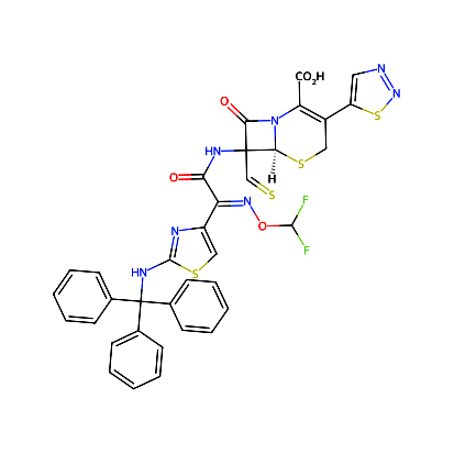 O=C(O)C1=C(c2cnns2)CS[C@@H]2N1C(=O)C2(C=S)NC(=O)C(=NOC(F)F)c1csc(NC(c2ccccc2)(c2ccccc2)c2ccccc2)n1